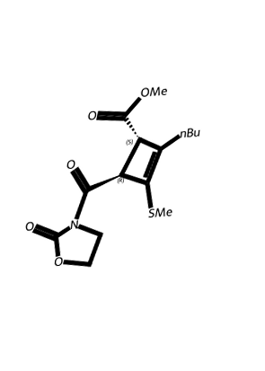 CCCCC1=C(SC)[C@@H](C(=O)N2CCOC2=O)[C@@H]1C(=O)OC